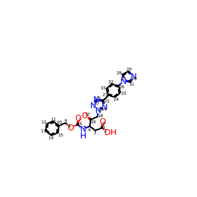 O=C(O)CC(NC(=O)OCc1ccccc1)C(=O)Cn1nnc(-c2ccc(-n3ccnc3)cc2)n1